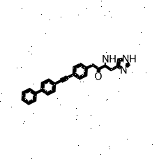 N[C@@H](Cc1c[nH]cn1)C(=O)Cc1ccc(C#Cc2ccc(-c3ccccc3)cc2)cc1